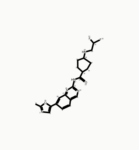 Cc1ncc(-c2ccc3cnc(NC(=O)C4CCC(NCC(F)F)CC4)nc3c2)o1